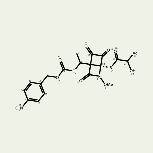 CON1C(=O)C2(C(C)OC(=O)OCc3ccc([N+](=O)[O-])cc3)C(=O)C(=O)[C@@]12SC(=O)C(O)C(C)=O